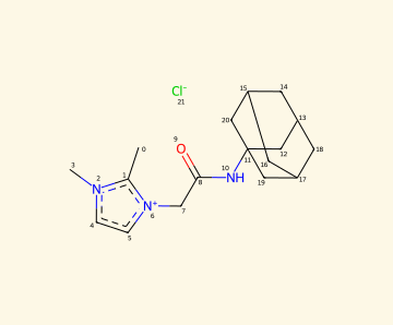 Cc1n(C)cc[n+]1CC(=O)NC12CC3CC(CC(C3)C1)C2.[Cl-]